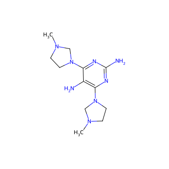 CN1CCN(c2nc(N)nc(N3CCN(C)C3)c2N)C1